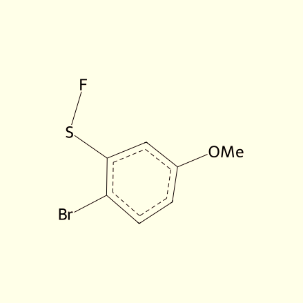 COc1ccc(Br)c(SF)c1